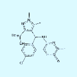 Cc1c(C(Nc2ccc(=O)n(C)n2)c2ccc(Cl)cc2)c(C(=O)O)nn1C